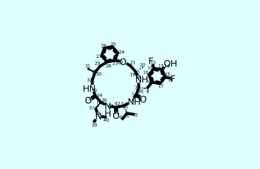 CC(C)[C@H]1NC(=O)[C@@H](Cc2cc(F)c(O)c(F)c2)N[C@@H](C)COc2ccccc2C[C@H](C)CNC(=O)[C@H](CN(C)C)NC1=O